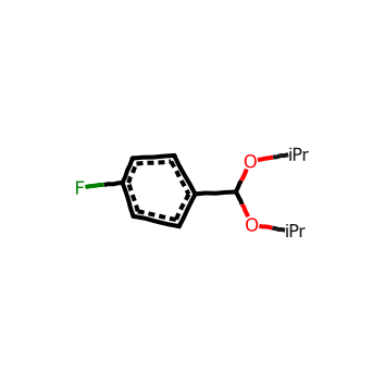 CC(C)OC(OC(C)C)c1ccc(F)cc1